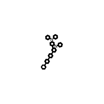 C1=CCCC(c2ccc(-c3ccc(-c4ccc5c(c4)c4ccc(N(c6ccccc6)c6ccccc6)cc4n5-c4ccccc4)cc3)cc2)=C1